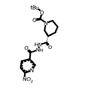 CC(C)(C)OC(=O)N1CCC[C@H](C(=O)NNC(=O)c2ccc([N+](=O)[O-])nc2)C1